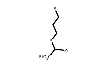 CCOC(=O)C(SCCCF)C(C)C